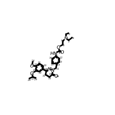 CCN(CC)CCOC(=O)Nc1ccc(CN2N=C(c3ccc(OC)c(OC(C)C)c3)CCC2=O)cc1